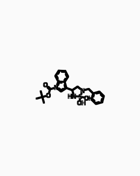 CC(C)(C)OC(=O)n1cc(C2CN(Cc3ccccc3)S(O)(O)N2)c2ccccc21